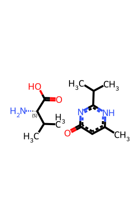 CC(C)[C@H](N)C(=O)O.Cc1cc(=O)nc(C(C)C)[nH]1